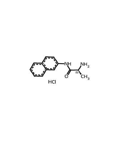 C[C@H](N)C(=O)Nc1ccc2ccccc2c1.Cl